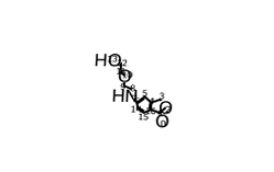 O=C1OCc2cc(NCCOCCO)ccc21